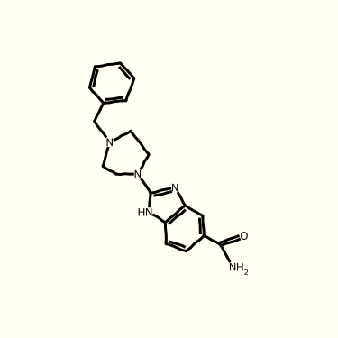 NC(=O)c1ccc2[nH]c(N3CCN(Cc4ccccc4)CC3)nc2c1